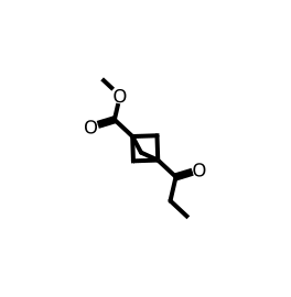 CCC(=O)C12CC(C(=O)OC)(C1)C2